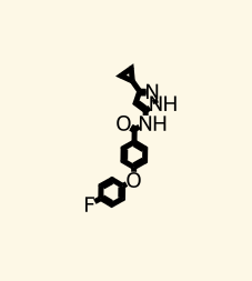 O=C(Nc1cc(C2CC2)n[nH]1)c1ccc(Oc2ccc(F)cc2)cc1